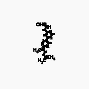 CN(C)CCN(C)c1ncc(-c2cccc(CNC=O)c2)cn1